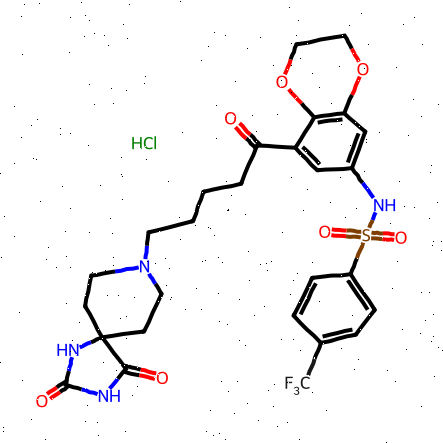 Cl.O=C1NC(=O)C2(CCN(CCCCC(=O)c3cc(NS(=O)(=O)c4ccc(C(F)(F)F)cc4)cc4c3OCCO4)CC2)N1